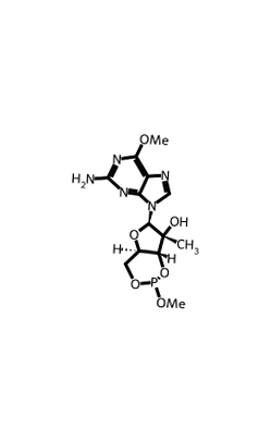 COc1nc(N)nc2c1ncn2[C@@H]1O[C@@H]2COP(OC)O[C@H]2[C@@]1(C)O